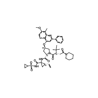 C=C[C@@H]1CC1(NC(=O)[C@@H]1C[C@@H](Oc2cc(-c3ccccc3)nc3c(C)c(OC)ccc23)CN1C(=O)[C@@H](CC(=O)N1CCCCC1)C(C)(C)C)C(=O)NS(=O)(=O)C1CC1